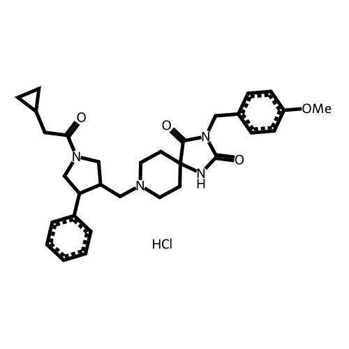 COc1ccc(CN2C(=O)NC3(CCN(CC4CN(C(=O)CC5CC5)CC4c4ccccc4)CC3)C2=O)cc1.Cl